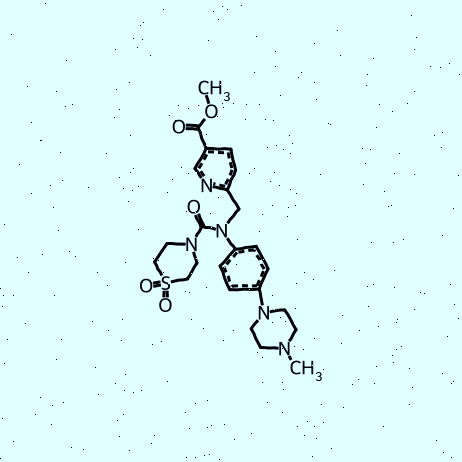 COC(=O)c1ccc(CN(C(=O)N2CCS(=O)(=O)CC2)c2ccc(N3CCN(C)CC3)cc2)nc1